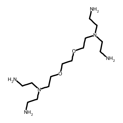 NCCN(CCN)CCOCCOCCN(CCN)CCN